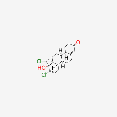 C[C@]12CC[C@H]3[C@@H](CCC4=CC(=O)CC[C@@H]43)[C@@H]1CC=C(Cl)C2(O)CCl